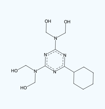 OCN(CO)c1nc(C2CCCCC2)nc(N(CO)CO)n1